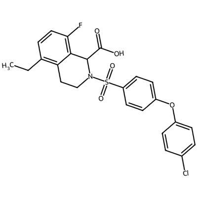 CCc1ccc(F)c2c1CCN(S(=O)(=O)c1ccc(Oc3ccc(Cl)cc3)cc1)C2C(=O)O